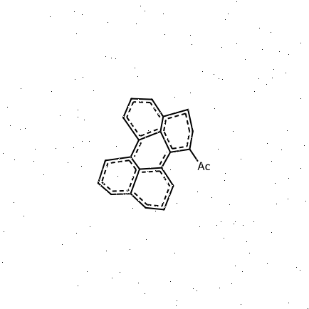 CC(=O)c1ccc2cccc3c4cccc5cccc(c1c23)c54